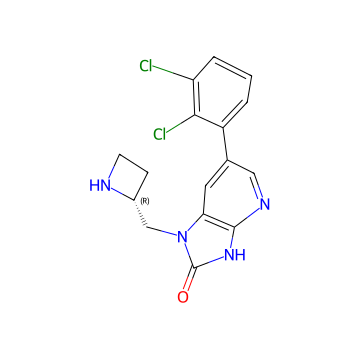 O=c1[nH]c2ncc(-c3cccc(Cl)c3Cl)cc2n1C[C@H]1CCN1